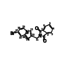 O=C1c2ccccc2C(=O)N1Cc1cn2ccc(Br)cc2n1